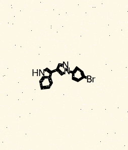 Brc1ccc(-n2cc(-c3c[nH]c4ccccc34)cn2)cc1